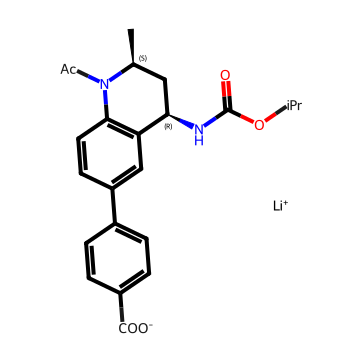 CC(=O)N1c2ccc(-c3ccc(C(=O)[O-])cc3)cc2[C@H](NC(=O)OC(C)C)C[C@@H]1C.[Li+]